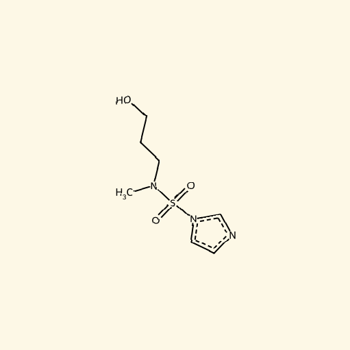 CN(CCCO)S(=O)(=O)n1ccnc1